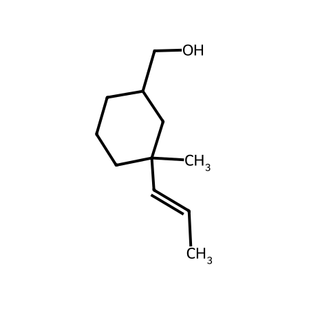 C/C=C/C1(C)CCCC(CO)C1